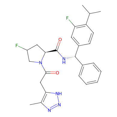 Cc1nn[nH]c1CC(=O)N1CC(F)C[C@H]1C(=O)N[C@@H](c1ccccc1)c1ccc(C(C)C)c(F)c1